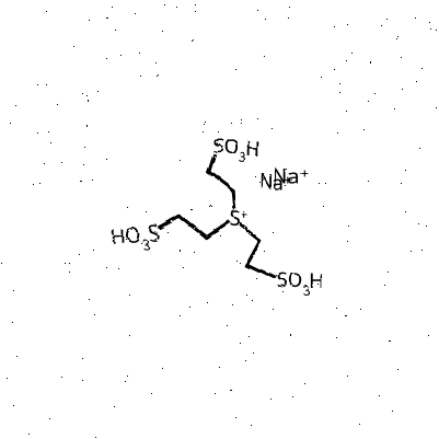 O=S(=O)(O)CC[S+](CCS(=O)(=O)O)CCS(=O)(=O)O.[Na+].[Na+]